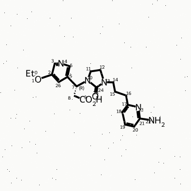 CCOc1cncc([C@@H](CC(=O)O)N2CCN(CCCc3cccc(N)n3)C2=O)c1